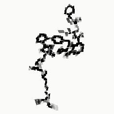 CCOc1nc2cccc(C(=O)OC(C)OC(=O)OC3CCCCC3)c2n1Cc1ccc(-c2ccccc2-c2nnn(COC(=O)OCCCCCON(O)O)n2)cc1